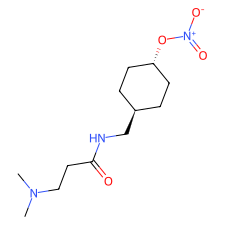 CN(C)CCC(=O)NC[C@H]1CC[C@H](O[N+](=O)[O-])CC1